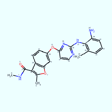 CNC(=O)c1c(C)oc2cc(Oc3ccnc(Nc4c(C)cccc4N)n3)ccc12